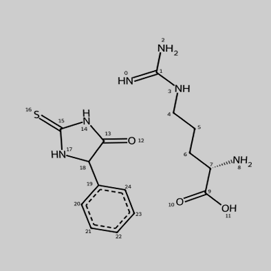 N=C(N)NCCC[C@H](N)C(=O)O.O=C1NC(=S)NC1c1ccccc1